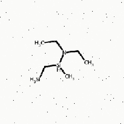 CCN(CC)[SiH](C)C[SiH3]